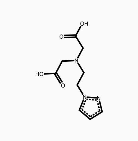 O=C(O)CN(CCn1cccn1)CC(=O)O